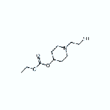 CCOC(=O)OC1CCN(CCS)CC1